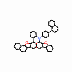 c1ccc(N(c2ccc(-c3cccc4ccccc34)cc2)c2cccc3c2oc2ccccc23)c(-c2cccc3c2oc2c4ccccc4ccc32)c1